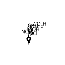 N#Cc1nc(C(=O)NCC(=O)O)c(O)c2c(Cl)cn(Cc3ccc(F)cc3)c12